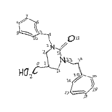 O=C(O)C1CN(Cc2ccccc2)C(=O)N(Cc2ccccc2)C1